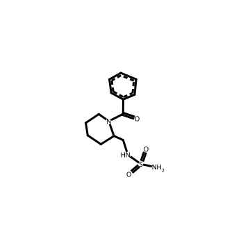 NS(=O)(=O)NCC1CCCCN1C(=O)c1ccccc1